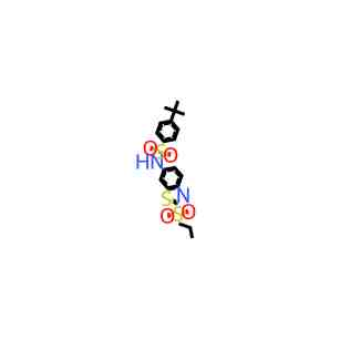 CCCS(=O)(=O)c1nc2ccc(NS(=O)(=O)c3ccc(C(C)(C)C)cc3)cc2s1